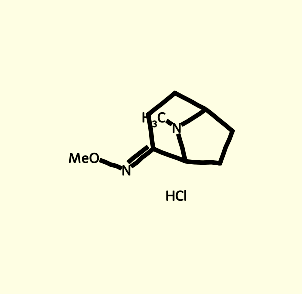 CON=C1CCC2CCC1N2C.Cl